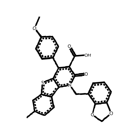 COc1ccc(-c2c(C(=O)O)c(=O)n(Cc3cccc4c3OCO4)c3c2sc2cc(C)ccc23)cc1